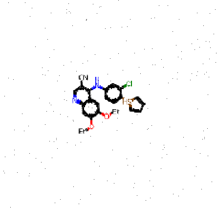 CCOc1cc2ncc(C#N)c(Nc3ccc([SH]4C=CC=C4)c(Cl)c3)c2cc1OCC